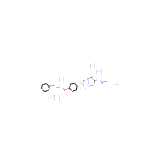 C=CC(=O)NC1CCN(S(=O)(=O)c2ccc(C(=O)NCCc3ccccc3OC)cc2)CC1C